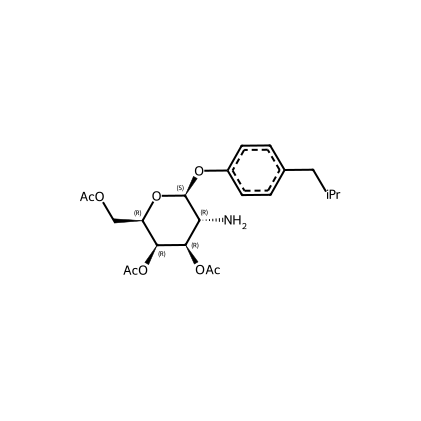 CC(=O)OC[C@H]1O[C@@H](Oc2ccc(CC(C)C)cc2)[C@H](N)[C@@H](OC(C)=O)[C@H]1OC(C)=O